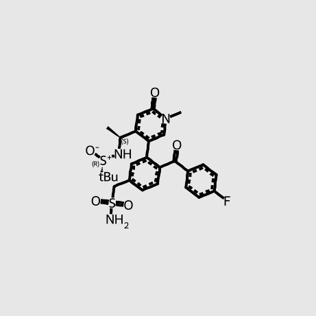 C[C@H](N[S@@+]([O-])C(C)(C)C)c1cc(=O)n(C)cc1-c1cc(CS(N)(=O)=O)ccc1C(=O)c1ccc(F)cc1